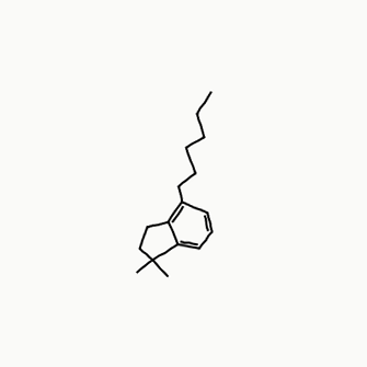 CCCCCCc1cccc2c1CCC2(C)C